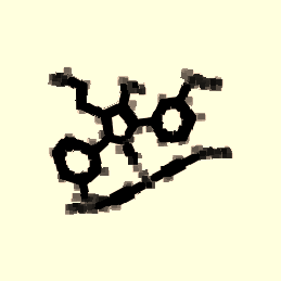 CCCCC=CC1=C(c2cccc(CCCCCC)c2)[N+](=[N-])C(c2cccc(CCCCC)c2)=C1CCCC.CCCCCC#[C][Ni][C]#CCCCCC